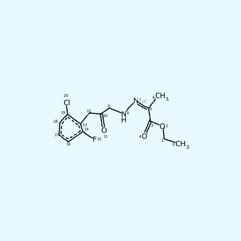 CCOC(=O)/C(C)=N\NCC(=O)Cc1c(F)cccc1Cl